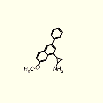 COc1ccc2cc(-c3ccccc3)cc(C3CC3N)c2c1